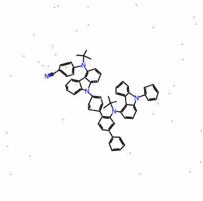 CC(C)(C)N(c1ccc(C#N)cc1)c1cccc2c1c1ccccc1n2-c1ccc(-c2ccc(-c3ccccc3)cc2N(c2cccc3c2c2ccccc2n3-c2ccccc2)C(C)(C)C)cc1